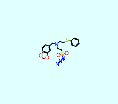 [N-]=[N+]=NS(=O)(=O)CCN(CCSc1ccccc1)Cc1ccc2c(c1)OCO2